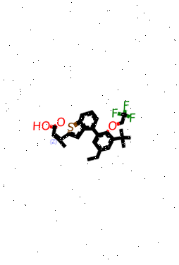 CCc1cc(-c2cccc3sc(/C(C)=C\C(=O)O)cc23)c(OCC(F)(F)F)c(C(C)(C)C)c1